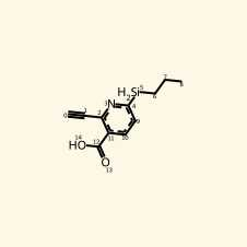 C#Cc1nc([SiH2]CCC)ccc1C(=O)O